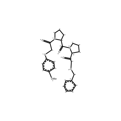 COc1ccc(OCC(=O)N2CCCC2C(=O)N2CCCC2C(=O)COCc2ccccc2)cc1